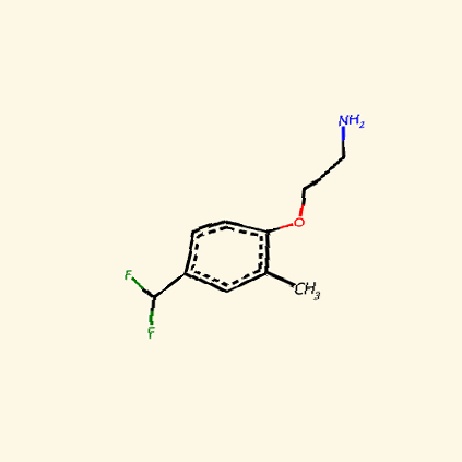 Cc1cc(C(F)F)ccc1OCCN